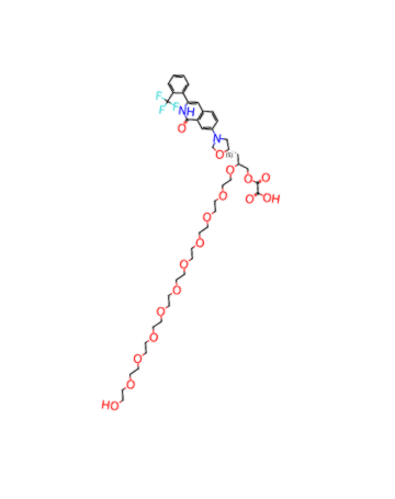 O=C(O)C(=O)OCC(C[C@H]1CN(c2ccc3cc(-c4ccccc4C(F)(F)F)[nH]c(=O)c3c2)CO1)OCCOCCOCCOCCOCCOCCOCCOCCOCCOCCO